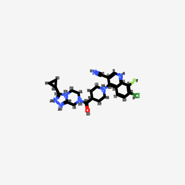 N#Cc1cnc2c(F)c(Cl)ccc2c1N1CCC(C(=O)N2CCn3c(nnc3C3CC3)C2)CC1